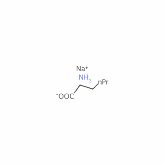 CCCCCC(=O)[O-].N.[Na+]